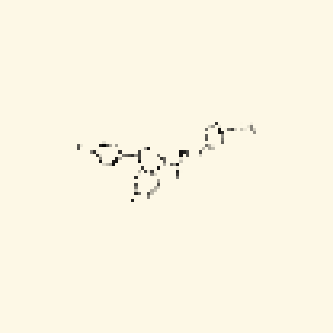 CN1CC[C@H](CNC(=O)N2CCN(c3ccc(F)cc3)c3cc(F)ccc32)C1